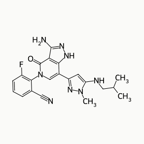 CC(C)CNc1cc(-c2cn(-c3c(F)cccc3C#N)c(=O)c3c(N)n[nH]c23)nn1C